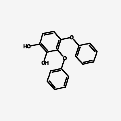 Oc1ccc(Oc2ccccc2)c(Oc2ccccc2)c1O